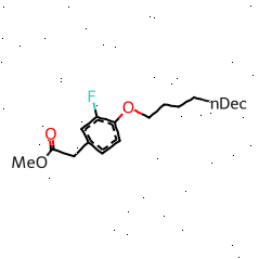 CCCCCCCCCCCCCCOc1ccc(CC(=O)OC)cc1F